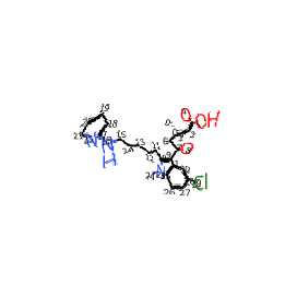 C[C@H](CC(=O)O)CC(=O)c1c(CCCCCNc2ccccn2)n(C)c2ccc(Cl)cc12